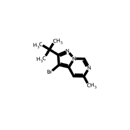 Cc1cc2c(Br)c(C(C)(C)C)nn2cn1